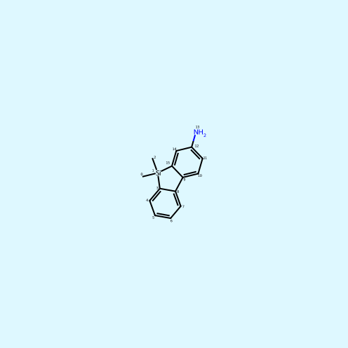 C[Si]1(C)c2ccccc2-c2ccc(N)cc21